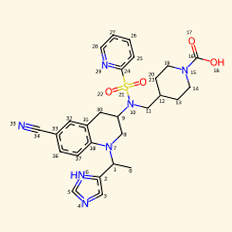 CC(c1cnc[nH]1)N1CC(N(CC2CCN(C(=O)O)CC2)S(=O)(=O)c2ccccn2)Cc2cc(C#N)ccc21